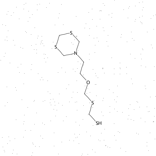 SCSCOCCN1CSCSC1